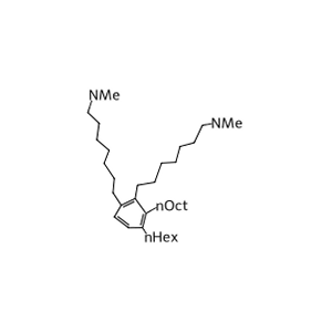 CCCCCCCCc1c(CCCCCC)ccc(CCCCCCCNC)c1CCCCCCCNC